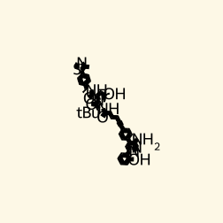 Cc1ncsc1-c1ccc([C@H](C)NC(=O)[C@@H]2C[C@@H](O)CN2C(=O)[C@@H](NC(=O)CCCC#Cc2ccc(-c3cc(-c4ccccc4O)nnc3N)cc2)C(C)(C)C)cc1